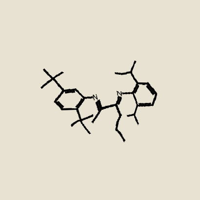 CCCC(=Nc1c(C(C)C)cccc1C(C)C)C(C)=Nc1cc(C(C)(C)C)ccc1C(C)(C)C